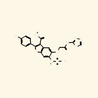 CNC(=O)c1c(-c2ccc(F)cc2)oc2cc(N(C)S(C)(=O)=O)c(OCC(=O)Nc3nncs3)cc12